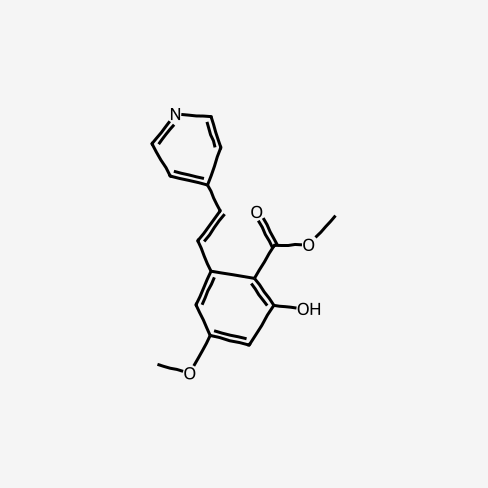 COC(=O)c1c(O)cc(OC)cc1C=Cc1ccncc1